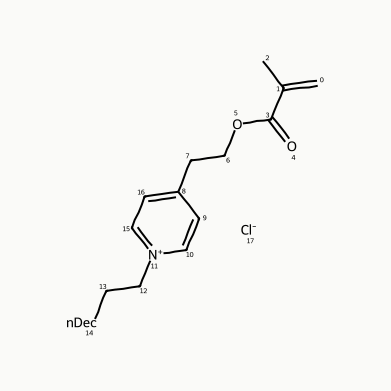 C=C(C)C(=O)OCCc1cc[n+](CCCCCCCCCCCC)cc1.[Cl-]